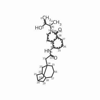 C=C(O)[C@@H](C)n1ccc2c(NC(=O)CC34CCCC5CC(CC5C3)C4)cccc2c1=O